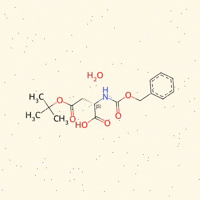 CC(C)(C)OC(=O)C[C@H](NC(=O)OCc1ccccc1)C(=O)O.O